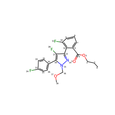 CCCOC(=O)c1cccc(F)c1-c1nn(COC)c(-c2ccc(F)cc2)c1F